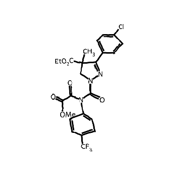 CCOC(=O)C1(C)CN(C(=O)N(C(=O)C(=O)OC)c2ccc(C(F)(F)F)cc2)N=C1c1ccc(Cl)cc1